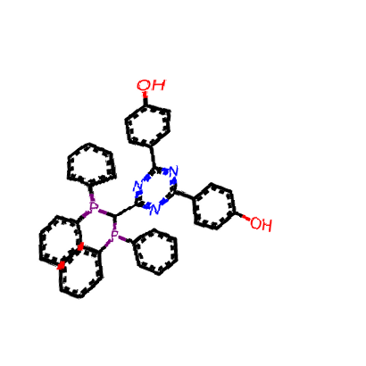 Oc1ccc(-c2nc(-c3ccc(O)cc3)nc(C(P(c3ccccc3)c3ccccc3)P(c3ccccc3)c3ccccc3)n2)cc1